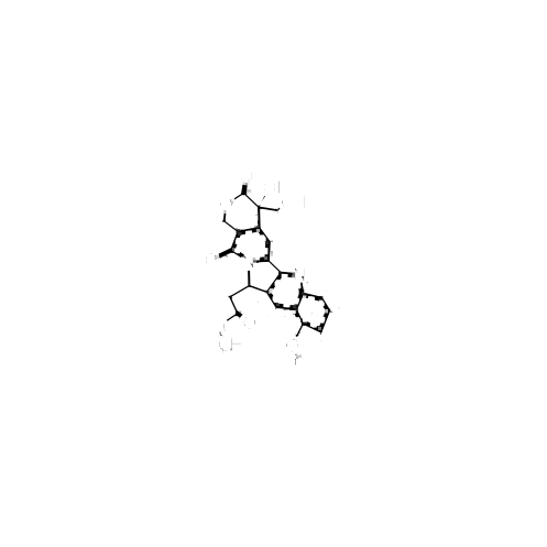 CC[C@@]1(O)C(=O)OCc2c1cc1n(c2=O)C(CC(=O)OC)c2cc3c(OC)cccc3nc2-1